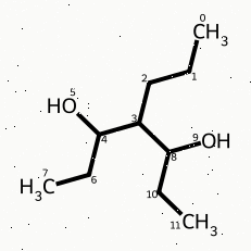 CCCC(C(O)CC)C(O)CC